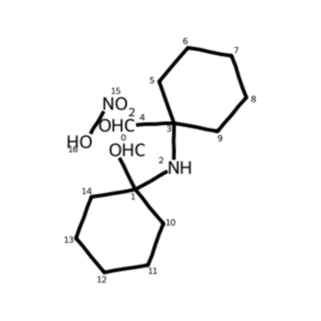 O=CC1(NC2(C=O)CCCCC2)CCCCC1.O=[N+]([O-])O